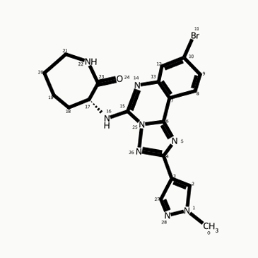 Cn1cc(-c2nc3c4ccc(Br)cc4nc(N[C@@H]4CCCCNC4=O)n3n2)cn1